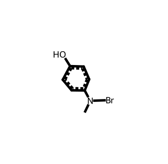 CN(Br)c1ccc(O)cc1